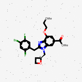 COCCOc1cc(C(=O)OC)cc2c1nc(Cc1cc(F)c(Br)cc1F)n2C[C@@H]1CCO1